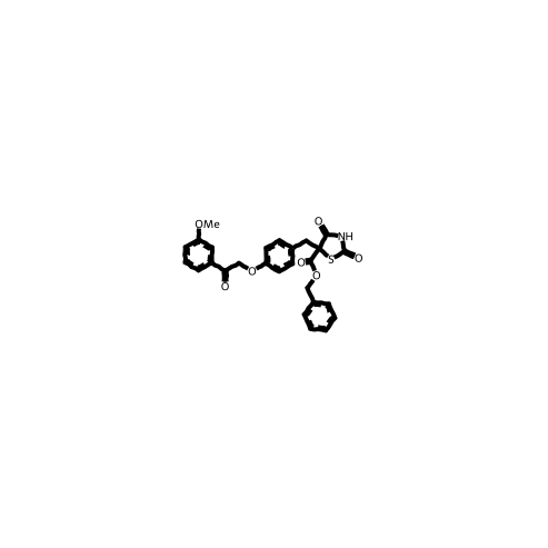 COc1cccc(C(=O)COc2ccc(CC3(C(=O)OCc4ccccc4)SC(=O)NC3=O)cc2)c1